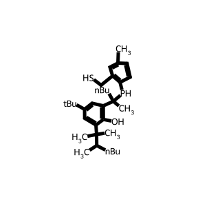 CCCCC(C)C(C)(C)c1cc(C(C)(C)C)cc(C(C)(CCCC)Pc2ccc(C)cc2CS)c1O